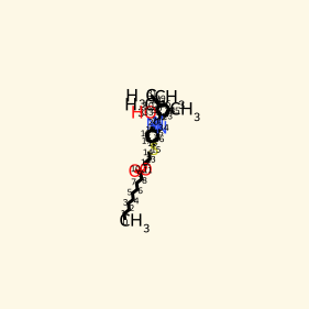 CCCCCCCCCC(=O)OCCCSc1ccc2nn(-c3cc(C)cc(C(C)(C)C)c3O)nc2c1